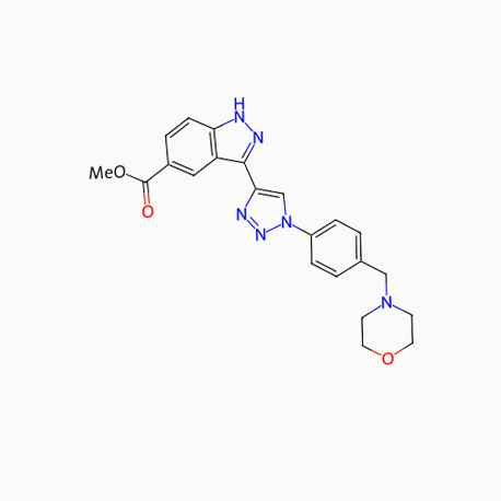 COC(=O)c1ccc2[nH]nc(-c3cn(-c4ccc(CN5CCOCC5)cc4)nn3)c2c1